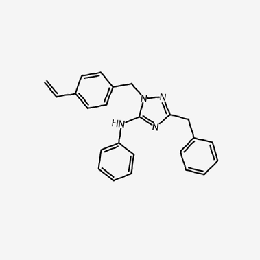 C=Cc1ccc(Cn2nc(Cc3ccccc3)nc2Nc2ccccc2)cc1